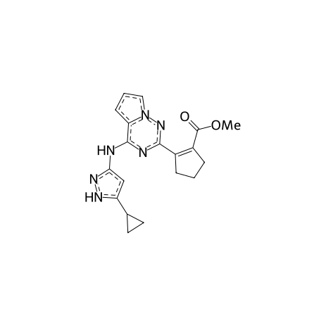 COC(=O)C1=C(c2nc(Nc3cc(C4CC4)[nH]n3)c3cccn3n2)CCC1